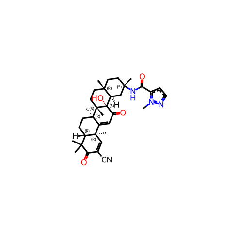 Cn1nccc1C(=O)N[C@@]1(C)CC[C@@]2(C)CC[C@@]3(C)[C@]4(C)CC[C@H]5C(C)(C)C(=O)C(C#N)=C[C@]5(C)C4=CC(=O)[C@]3(O)[C@@H]2C1